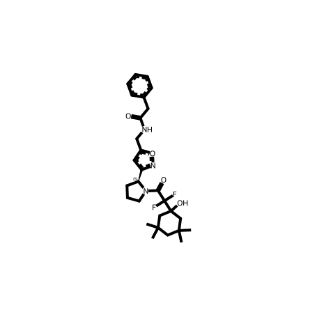 CC1(C)CC(C)(C)CC(O)(C(F)(F)C(=O)N2CCC[C@H]2c2cc(CNC(=O)Cc3ccccc3)on2)C1